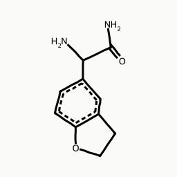 NC(=O)C(N)c1ccc2c(c1)CCO2